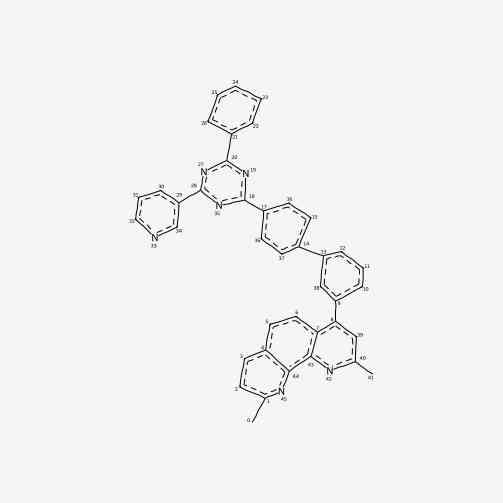 Cc1ccc2ccc3c(-c4cccc(-c5ccc(-c6nc(-c7ccccc7)nc(-c7cccnc7)n6)cc5)c4)cc(C)nc3c2n1